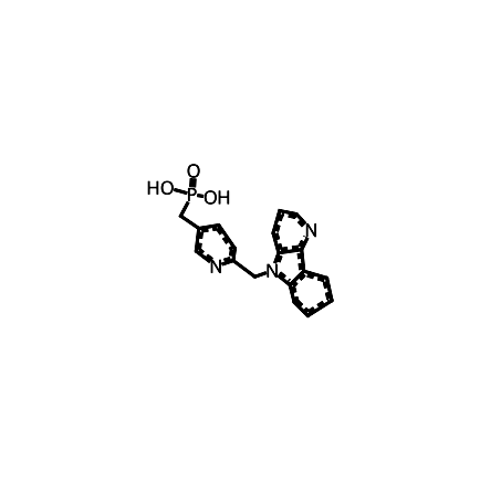 O=P(O)(O)Cc1ccc(Cn2c3ccccc3c3ncccc32)nc1